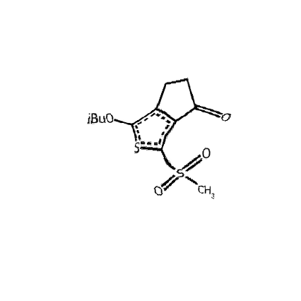 CC(C)COc1sc(S(C)(=O)=O)c2c1CCC2=O